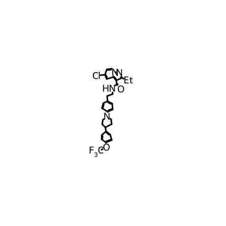 CCc1nn2ccc(Cl)cc2c1C(=O)NCCc1ccc(N2CCC(c3ccc(OC(F)(F)F)cc3)CC2)cc1